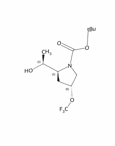 C[C@H](O)[C@@H]1C[C@@H](OC(F)(F)F)CN1C(=O)OC(C)(C)C